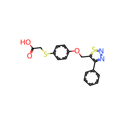 O=C(O)CSc1ccc(OCc2snnc2-c2ccccc2)cc1